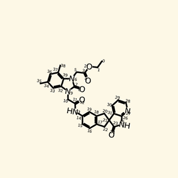 CCOC(=O)Cn1c(=O)n(CC(=O)Nc2ccc3c(c2)CC2(C3)C(=O)Nc3ncccc32)c2cc(C)cc(C)c21